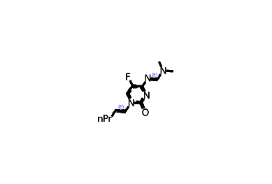 CCC/C=C/n1cc(F)c(/N=C/N(C)C)nc1=O